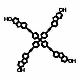 Oc1ccc2c(c1)Cc1cc(C#Cc3ccc(C(c4ccc(C#Cc5ccc6c(c5)Cc5cc(O)ccc5-6)cc4)(c4ccc(C#Cc5ccc6c(c5)Cc5cc(O)ccc5-6)cc4)c4ccc(C#Cc5ccc6c(c5)Cc5cc(O)ccc5-6)cc4)cc3)ccc1-2